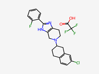 Fc1ccccc1-c1nc2c([nH]1)CN(C1CCc3ccc(Cl)cc3C1)CC2.O=C(O)C(F)(F)F